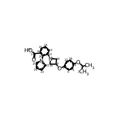 CC(C)Oc1ccc(OC2CN(c3cccc(C(=O)O)c3-n3cccc3)C2)cc1